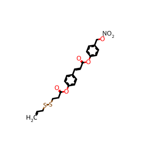 C=CCSSCCC(=O)Oc1ccc(/C=C/C(=O)Oc2ccc(CO[N+](=O)[O-])cc2)cc1